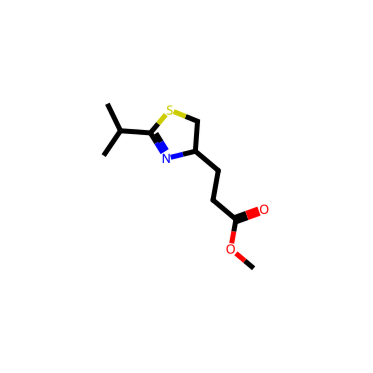 COC(=O)CCC1CSC(C(C)C)=N1